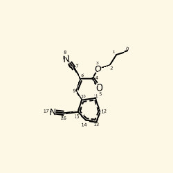 CCCOC(=O)C(C#N)=Cc1ccccc1C#N